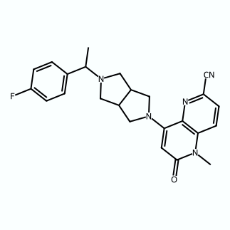 CC(c1ccc(F)cc1)N1CC2CN(c3cc(=O)n(C)c4ccc(C#N)nc34)CC2C1